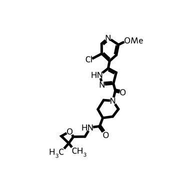 COc1cc(-c2cc(C(=O)N3CCC(C(=O)NCC4OCC4(C)C)CC3)n[nH]2)c(Cl)cn1